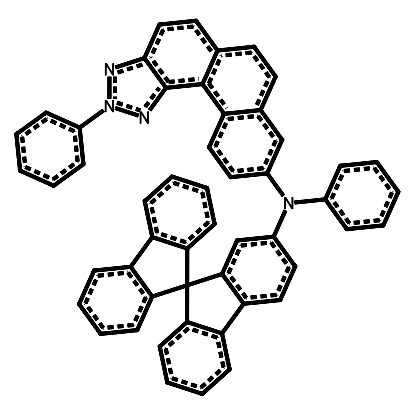 c1ccc(N(c2ccc3c(c2)C2(c4ccccc4-c4ccccc42)c2ccccc2-3)c2ccc3c(ccc4ccc5nn(-c6ccccc6)nc5c43)c2)cc1